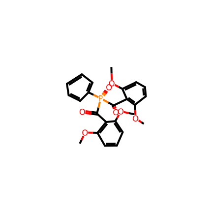 COc1cccc(OC)c1C(=O)P(=O)(C(=O)c1c(OC)cccc1OC)c1ccccc1